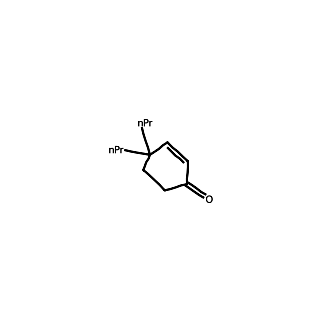 CCCC1(CCC)C=CC(=O)CC1